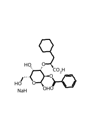 O=C(O[C@@H]1[C@@H](O[C@@H](CC2CCCCC2)C(=O)O)[C@@H](O)[C@@H](CO)O[C@@H]1O)c1ccccc1.[NaH]